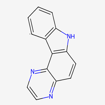 [c]1cccc2[nH]c3ccc4nccnc4c3c12